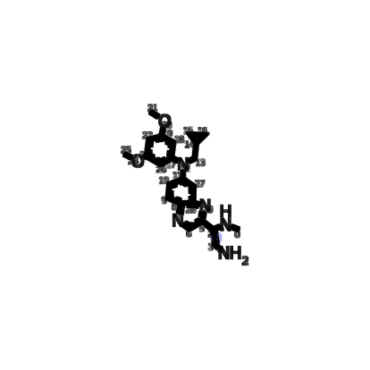 CN/C(=C\N)c1cnc2ccc(N(CC3CC3)c3cc(OC)cc(OC)c3)cc2n1